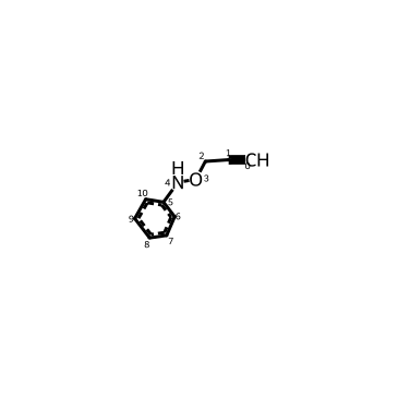 C#CCONc1ccccc1